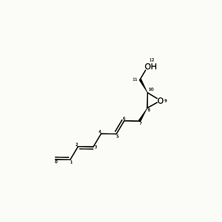 C=CC=CCC=CC[C@@H]1O[C@@H]1CO